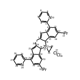 CC1=Cc2c(-c3ccccn3)cc(C(C)C)cc2[CH]1[Zr+2]1([CH]2C(C)=Cc3c(-c4ccccn4)cc(C(C)C)cc32)[CH2][CH2]1.[Cl-].[Cl-]